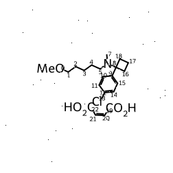 COCCCCCN(C)C1(c2ccc(Cl)cc2)CCC1.O=C(O)/C=C\C(=O)O